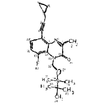 Cc1nc2c(C#CC3CC3)ccc(F)c2n(CO[Si](C)(C)C(C)(C)C)c1=O